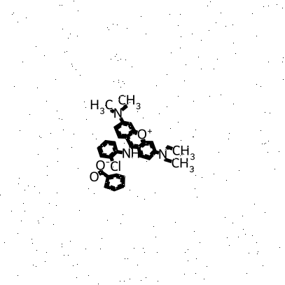 CCN(CC)c1ccc2c(Nc3ccccc3Cl)c3ccc(N(CC)CC)cc3[o+]c2c1.O=C([O-])c1ccccc1